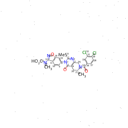 CSc1nc2c(c(=O)n1-c1ccc3c(N(C)C(=O)O)noc3c1)C[C@@H](C)N(C(=O)c1ccc(Cl)c(Cl)c1)C2